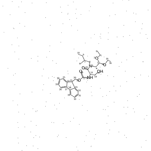 CCOC(CN(CC(C)CC)C(=O)C(CO)NC(=O)OCC1c2ccccc2-c2ccccc21)OCC